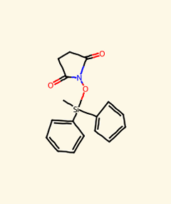 C[Si](ON1C(=O)CCC1=O)(c1ccccc1)c1ccccc1